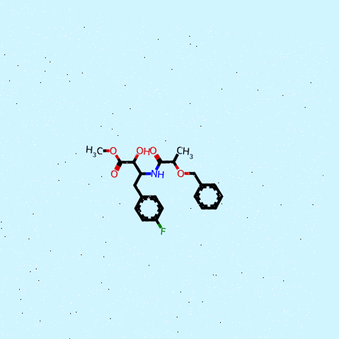 COC(=O)C(O)C(Cc1ccc(F)cc1)NC(=O)C(C)OCc1ccccc1